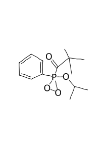 CC(C)OP1(C(=O)C(C)(C)C)(c2ccccc2)OO1